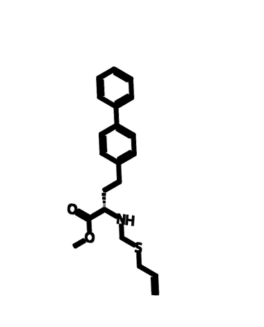 C=CCSCN[C@@H](CCc1ccc(-c2ccccc2)cc1)C(=O)OC